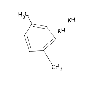 Cc1ccc(C)cc1.[KH].[KH]